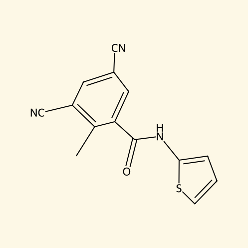 Cc1c(C#N)cc(C#N)cc1C(=O)Nc1cccs1